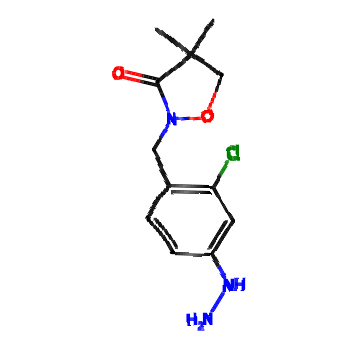 CC1(C)CON(Cc2ccc(NN)cc2Cl)C1=O